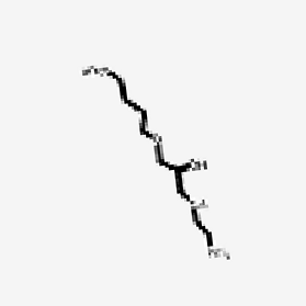 CCCCCCCCCCCCOCC(O)CNCCN